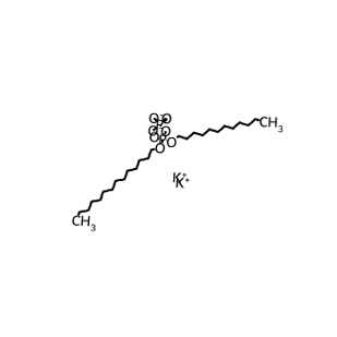 CCCCCCCCCCCCCCOP(=O)(OCCCCCCCCCCCC)OP(=O)([O-])[O-].[K+].[K+]